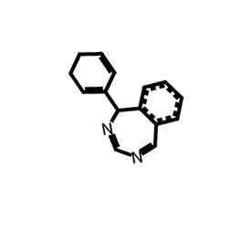 C1=CC(C2N=CN=Cc3ccccc32)=CCC1